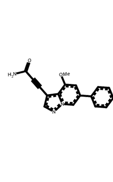 COc1cc(-c2ccccc2)cn2ncc(C#CC(N)=O)c12